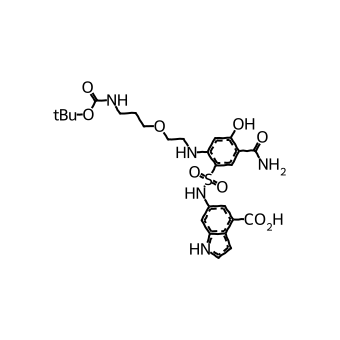 CC(C)(C)OC(=O)NCCCOCCNc1cc(O)c(C(N)=O)cc1S(=O)(=O)Nc1cc(C(=O)O)c2cc[nH]c2c1